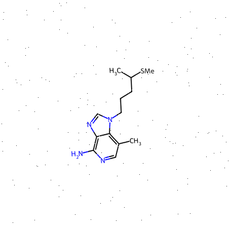 CSC(C)CCCn1cnc2c(N)ncc(C)c21